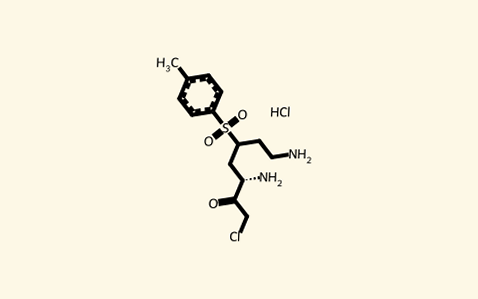 Cc1ccc(S(=O)(=O)C(CCN)C[C@H](N)C(=O)CCl)cc1.Cl